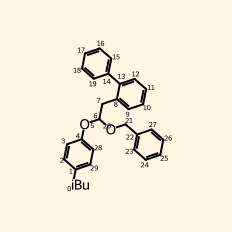 CCC(C)c1ccc(OC(Cc2ccccc2-c2ccccc2)OCc2ccccc2)cc1